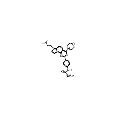 CNC(=O)Nc1ccc(-c2nc(N3CCOCC3)c3ccc4c(ccn4CCN(C)C)c3n2)cc1